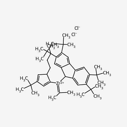 CCCCC1C=C(C(C)(C)C)C=[C]1[Zr+2](=[C](C)C)[CH]1c2cc(C(C)(C)C)c(C(C)(C)C)cc2-c2cc(C(C)(C)C)c(C(C)(C)C)cc21.[Cl-].[Cl-]